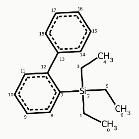 CC[Si](CC)(CC)c1ccccc1-c1ccccc1